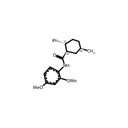 COc1ccc(NC(=O)[C@@H]2C[C@H](C)CC[C@H]2C(C)C)c(OC)c1